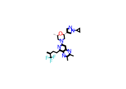 C=C(CCc1nc(N2C[C@@H](c3cnn(C4CC4)c3)O[C@@H](C)C2)cc2nc(C)c(C)nc12)C(F)(F)F